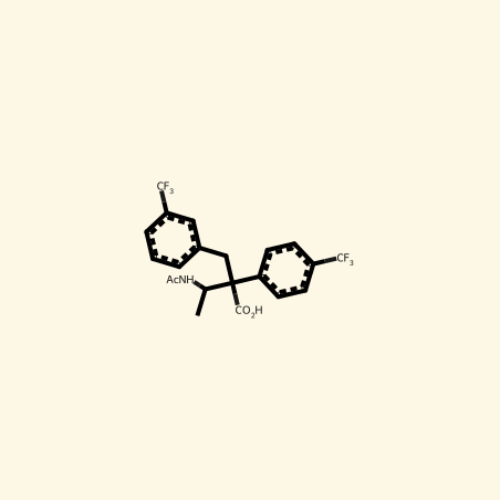 CC(=O)NC(C)C(Cc1cccc(C(F)(F)F)c1)(C(=O)O)c1ccc(C(F)(F)F)cc1